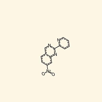 O=[N+]([O-])c1ccc2cnc(-c3ccccn3)nc2c1